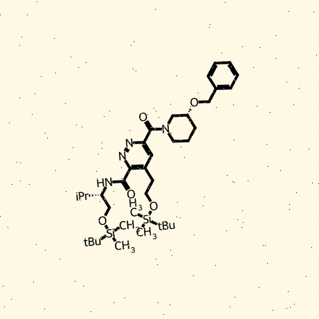 CC(C)[C@@H](CO[Si](C)(C)C(C)(C)C)NC(=O)c1nnc(C(=O)N2CCC[C@@H](OCc3ccccc3)C2)cc1CCO[Si](C)(C)C(C)(C)C